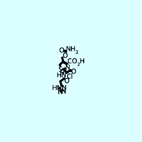 NC(=O)OCC1=C(C(=O)O)N2C(=O)C(Cl)(NC(=O)Cc3nnn[nH]3)[C@@H]2SC1